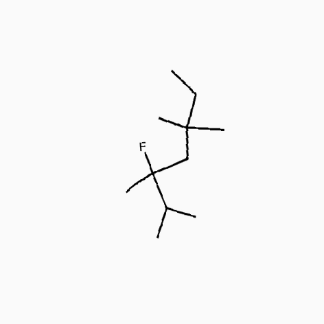 CCC(C)(C)CC(C)(F)C(C)C